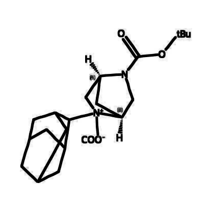 CC(C)(C)OC(=O)N1C[C@@H]2C[C@H]1C[N+]2(C(=O)[O-])C1C2CC3CC(C2)CC1C3